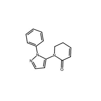 O=C1C=CCCN1c1ccnn1-c1ccccc1